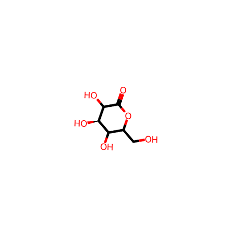 O=C1OC(CO)C(O)[C@@H](O)C1O